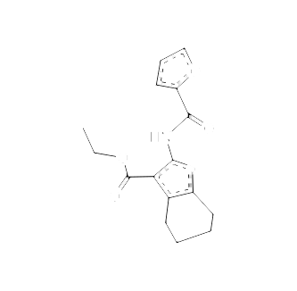 CCOC(=O)c1c(NC(=O)c2ccco2)sc2c1CCCC2